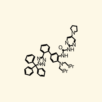 CC(C)CN(CC(C)C)c1ccc(-c2ccccc2-c2nnn(C(c3ccccc3)(c3ccccc3)c3ccccc3)n2)cc1NC(=O)Nc1ncc(N2CCCC2)cn1